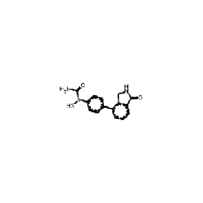 NC(=O)N(S)c1ccc(-c2cccc3c2CNC3=O)cc1